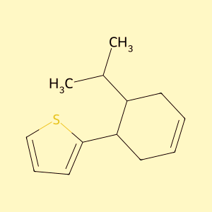 CC(C)C1CC=CCC1c1cccs1